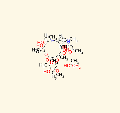 CCO.CC[C@H]1OC(=O)[C@H](C)[C@@H](O[C@H]2C[C@@](C)(OC)[C@@H](O)[C@H](C)O2)[C@H](C)[C@@H](O[C@@H]2O[C@H](C)C[C@H](N(C)C)[C@H]2O)[C@](C)(O)C[C@@H](C)CN(C)[C@H](C)[C@@H](O)[C@]1(C)O.O